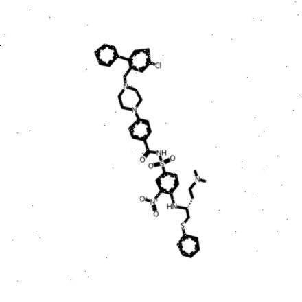 CN(C)CC[C@H](CSc1ccccc1)Nc1ccc(S(=O)(=O)NC(=O)c2ccc(N3CCN(Cc4cc(Cl)ccc4-c4ccccc4)CC3)cc2)cc1[N+](=O)[O-]